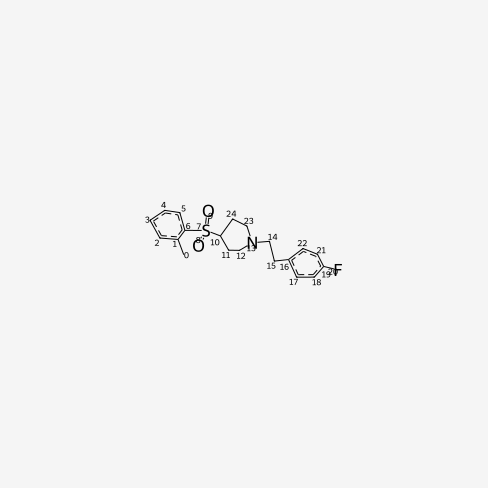 Cc1ccccc1S(=O)(=O)C1CCN(CCc2ccc(F)cc2)CC1